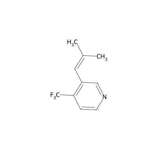 CC(C)=Cc1cn[c]cc1C(F)(F)F